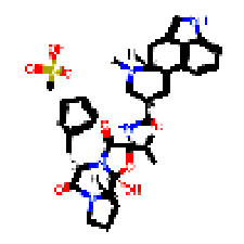 CC(C)[C@@]1(NC(=O)[C@@H]2CC3c4cccc5[nH]cc(c45)C[C@H]3N(C)C2)O[C@@]2(O)[C@@H]3CCCN3C(=O)[C@H](Cc3ccccc3)N2C1=O.CS(=O)(=O)O